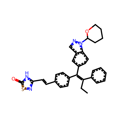 CCC(=C(c1ccc(C=Cc2nsc(=O)[nH]2)cc1)c1ccc2c(cnn2C2CCCCO2)c1)c1ccccc1